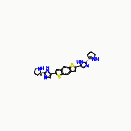 c1nc([C@@H]2CCCN2)[nH]c1-c1cc2cc3sc(-c4cnc([C@@H]5CCCN5)[nH]4)cc3cc2s1